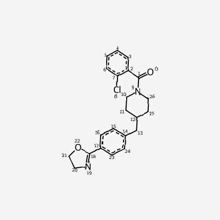 O=C(c1ccccc1Cl)N1CCC(Cc2ccc(C3=NCCO3)cc2)CC1